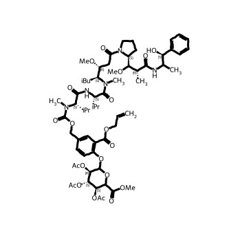 C=CCOC(=O)c1cc(COC(=O)N(C)[C@H](C(=O)N[C@H](C(=O)N(C)[C@@H](C(C)CC)[C@@H](CC(=O)N2CCC[C@H]2C(OC)[C@@H](C)C(=O)NC(C)[C@@H](O)c2ccccc2)OC)C(C)C)C(C)C)ccc1OC1OC(C(=O)OC)[C@@H](OC(C)=O)[C@H](OC(C)=O)[C@H]1OC(C)=O